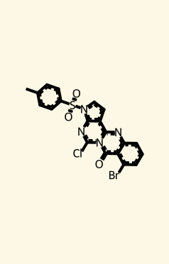 Cc1ccc(S(=O)(=O)n2ccc3c2nc(Cl)n2c(=O)c4c(Br)cccc4nc32)cc1